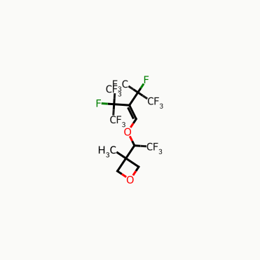 CC1(C(OC=C(C(F)(C(F)(F)F)C(F)(F)F)C(F)(C(F)(F)F)C(F)(F)F)C(F)(F)F)COC1